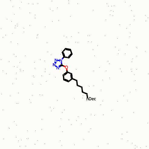 CCCCCCCCCCCCCCCc1cccc(Oc2nnnn2-c2ccccc2)c1